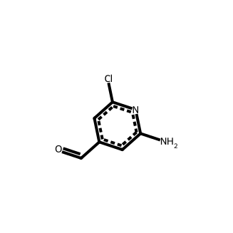 Nc1cc(C=O)cc(Cl)n1